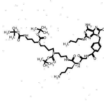 CCCCNc1nc(N)c2nc(O)n(Cc3ccc(C(=O)NCC(=O)N[C@@H](CCCCN)C(=O)NCCCN(CCCCN(CCCNC(=O)OC(C)(C)C)C(=O)OC(C)(C)C)C(=O)OC(C)(C)C)cc3)c2n1